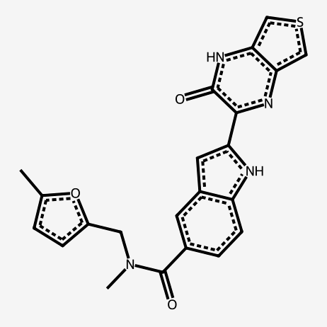 Cc1ccc(CN(C)C(=O)c2ccc3[nH]c(-c4nc5cscc5[nH]c4=O)cc3c2)o1